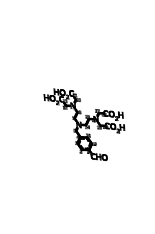 O=Cc1ccc(CN(CCN(CC(=O)O)CC(=O)O)CCN(CC(=O)O)CC(=O)O)cc1